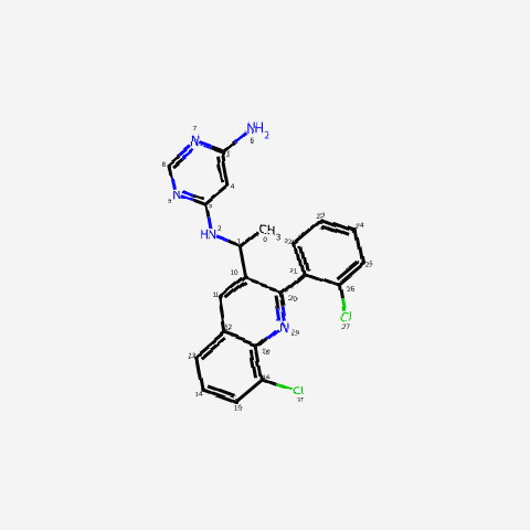 CC(Nc1cc(N)ncn1)c1cc2cccc(Cl)c2nc1-c1ccccc1Cl